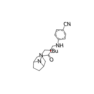 CC(C)(C)C(=O)CN1C2CCC1CN(CCCNc1ccc(C#N)cc1)C2